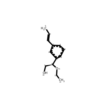 C/C=C/c1cccc([C@H](CO)OCC)c1